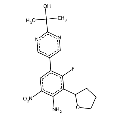 CC(C)(O)c1ncc(-c2cc([N+](=O)[O-])c(N)c(C3CCCO3)c2F)cn1